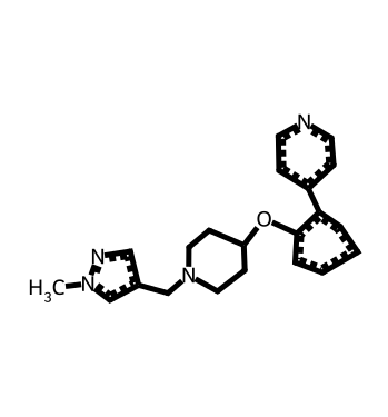 Cn1cc(CN2CCC(Oc3ccccc3-c3ccncc3)CC2)cn1